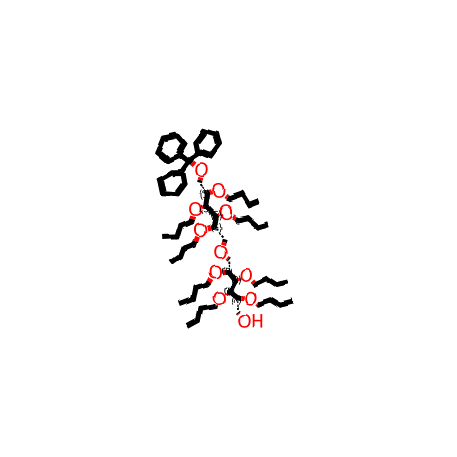 CCCCO[C@H]([C@@H](OCCCC)[C@H](COC(c1ccccc1)(c1ccccc1)c1ccccc1)OCCCC)[C@H](COC[C@@H](OCCCC)[C@@H](OCCCC)[C@H](OCCCC)[C@@H](CO)OCCCC)OCCCC